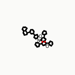 c1cc(-c2ccc(N(c3ccccc3-c3ccc4c(c3)oc3ccccc34)c3cccc4c3oc3ccccc34)cc2)cc(-c2cccc3ccccc23)c1